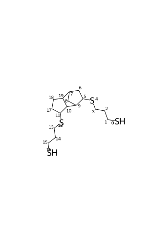 SCCCSC1CC2CC1C1C(SCCCS)CCC21